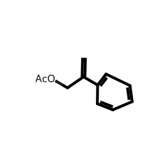 C=C(COC(C)=O)c1ccccc1